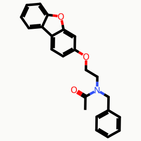 CC(=O)N(CCOc1ccc2c(c1)oc1ccccc12)Cc1ccccc1